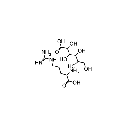 N=C(N)NCCCC(N)C(=O)O.O=C(O)C(O)C(O)C(O)C(O)CO